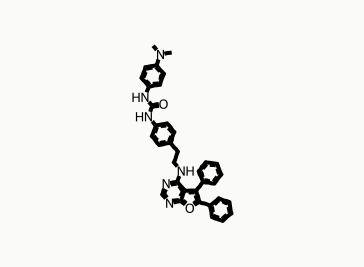 CN(C)c1ccc(NC(=O)Nc2ccc(CCNc3ncnc4oc(-c5ccccc5)c(-c5ccccc5)c34)cc2)cc1